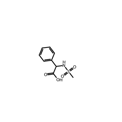 CS(=O)(=O)NC(C(=O)O)c1ccccc1